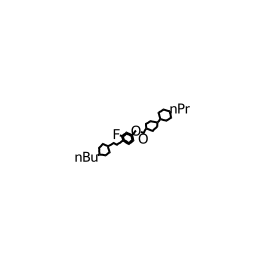 CCCCC1CCC(CCc2ccc(OC(=O)C3CCC(C4CCC(CCC)CC4)CC3)cc2F)CC1